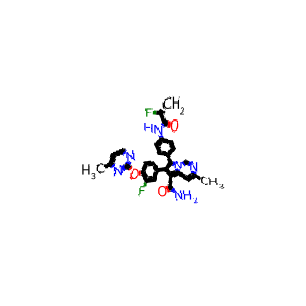 C=C(F)C(=O)Nc1ccc(-c2c(-c3ccc(Oc4nccc(C)n4)c(F)c3)c(C(N)=O)c3cc(C)ncn23)cc1